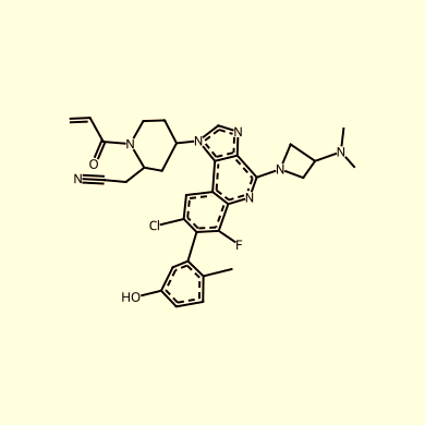 C=CC(=O)N1CCC(n2cnc3c(N4CC(N(C)C)C4)nc4c(F)c(-c5cc(O)ccc5C)c(Cl)cc4c32)CC1CC#N